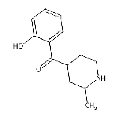 CC1CC(C(=O)c2ccccc2O)CCN1